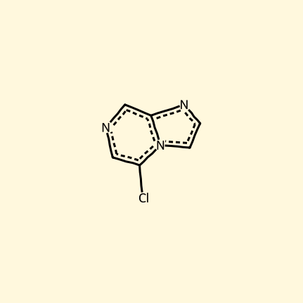 Clc1cncc2nccn12